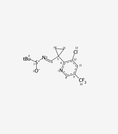 CC(C)(C)[S+]([O-])/N=C/C1(c2ncc(C(F)(F)F)cc2Cl)CC1